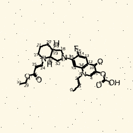 CCCn1cc(OC(=O)O)c(=O)c2cc(F)c(N3C[C@@H]4CCCN(C=CC(=O)OCC)[C@@H]4C3)cc21